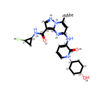 CNc1cc(Nc2cccn([C@H]3CC[C@@H](O)CC3)c2=O)nc2c(C(=O)N[C@H]3C[C@H]3F)cnn12